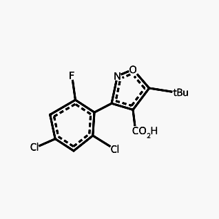 CC(C)(C)c1onc(-c2c(F)cc(Cl)cc2Cl)c1C(=O)O